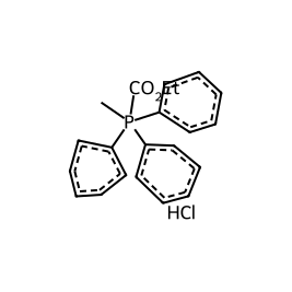 CCOC(=O)P(C)(c1ccccc1)(c1ccccc1)c1ccccc1.Cl